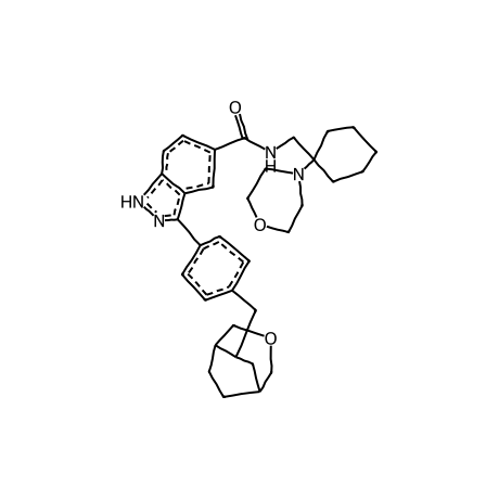 O=C(NCC1(N2CCOCC2)CCCCC1)c1ccc2[nH]nc(-c3ccc(CC4CC5CCC4COC5)cc3)c2c1